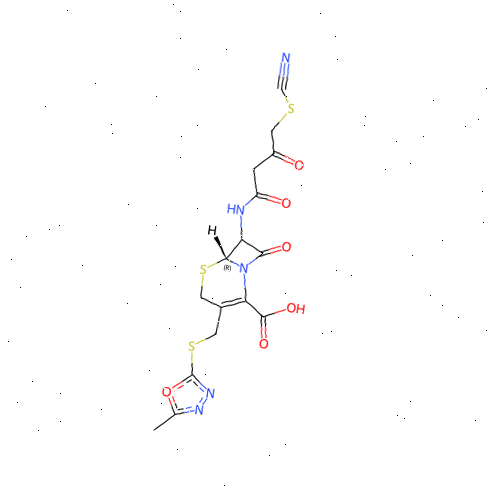 Cc1nnc(SCC2=C(C(=O)O)N3C(=O)C(NC(=O)CC(=O)CSC#N)[C@H]3SC2)o1